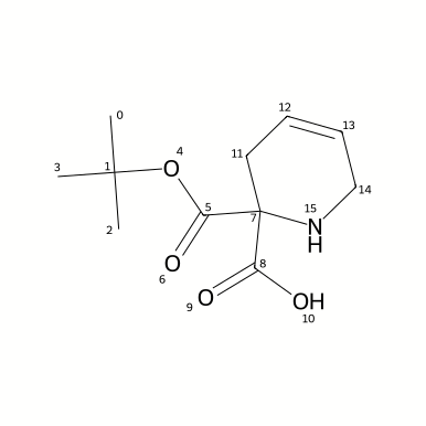 CC(C)(C)OC(=O)C1(C(=O)O)CC=CCN1